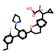 CCc1ccc(F)c(-c2ccc(C3CCc4ccc(C(C5CC5)[C@H](C)C(=O)O)cc4O3)cc2CN2CCCC2)c1